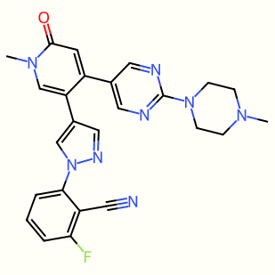 CN1CCN(c2ncc(-c3cc(=O)n(C)cc3-c3cnn(-c4cccc(F)c4C#N)c3)cn2)CC1